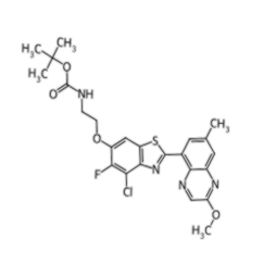 COc1cnc2c(-c3nc4c(Cl)c(F)c(OCCNC(=O)OC(C)(C)C)cc4s3)cc(C)cc2n1